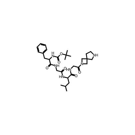 CC(C)CC(NC(=O)CNC(=O)C(Cc1ccccc1)NC(=O)OC(C)(C)C)C(=O)NCC(=O)N1CC2(CCNC2)C1